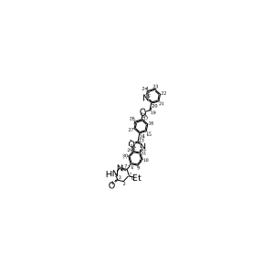 CCC1CC(=O)NN=C1c1ccc2nc(-c3ccc(OCc4ccccn4)cc3)oc2c1